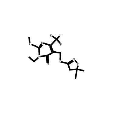 CCn1c(OC)nc(C(F)(F)F)c(CSC2=NOC(C)(C)C2)c1=O